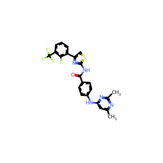 Cc1cc(Nc2ccc(C(=O)Nc3nc(-c4cccc(C(F)(F)F)c4F)cs3)cc2)nc(C)n1